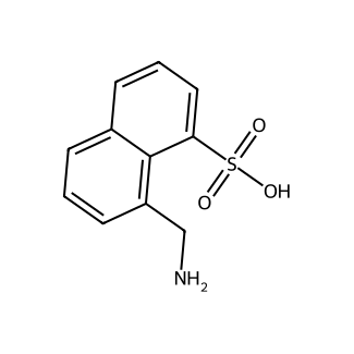 NCc1cccc2cccc(S(=O)(=O)O)c12